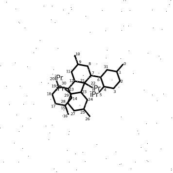 CC1CCC(C(C)C)C([C]2CC(C)CC(C3CC(C)CCC3C(C)C)C2(C(C)C)C2CC(C)CCC2C(C)C)C1